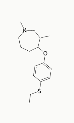 CCSc1ccc(OC2CCCN(C)CC2C)cc1